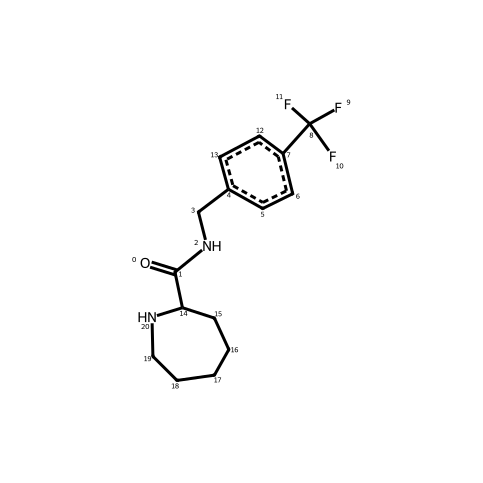 O=C(NCc1ccc(C(F)(F)F)cc1)C1CCCCCN1